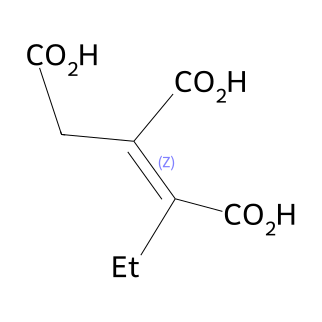 CC/C(C(=O)O)=C(\CC(=O)O)C(=O)O